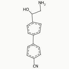 N#Cc1ccc(-c2ccc(C(O)CN)cc2)cc1